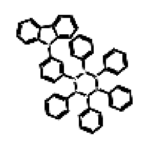 c1ccc(B2N(c3ccccc3)B(c3ccccc3)N(c3cccc(-n4c5ccccc5c5ccccc54)c3)B(c3ccccc3)N2c2ccccc2)cc1